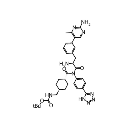 Cc1nc(N)ncc1-c1cccc(C[C@H](N)C(=O)N(c2ccc(-c3nnn[nH]3)cc2)C(=O)[C@H]2CC[C@H](CNC(=O)OC(C)(C)C)CC2)c1